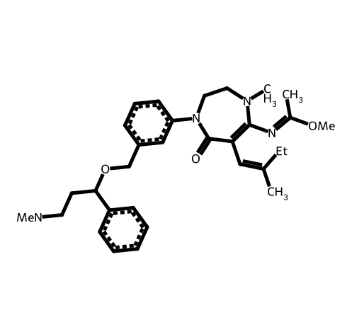 CC/C(C)=C\C1=C(/N=C(\C)OC)N(C)CCN(c2cccc(COC(CCNC)c3ccccc3)c2)C1=O